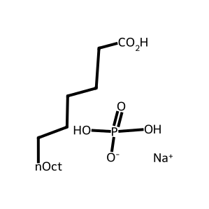 CCCCCCCCCCCCCC(=O)O.O=P([O-])(O)O.[Na+]